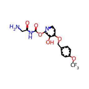 NCC(=O)NC(=O)Oc1nccc(OCc2ccc(OC(F)(F)F)cc2)c1O